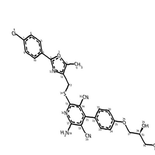 Cc1oc(-c2ccc(Cl)cc2)nc1CSc1nc(N)c(C#N)c(-c2ccc(OC[C@@H](O)CO)cc2)c1C#N